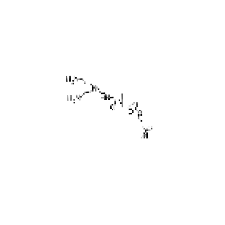 CN(C)C(=O)CCCOC1OCC(CNC(=O)CNCCCN(CCCN)CCCN)O1